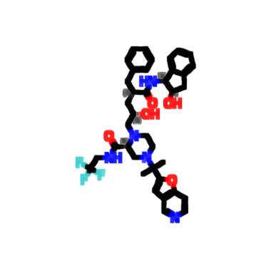 CC(C)(c1cc2cnccc2o1)N1CCN(C[C@@H](O)C[C@@H](Cc2ccccc2)C(=O)N[C@H]2c3ccccc3C[C@H]2O)[C@H](C(=O)NCC(F)(F)F)C1